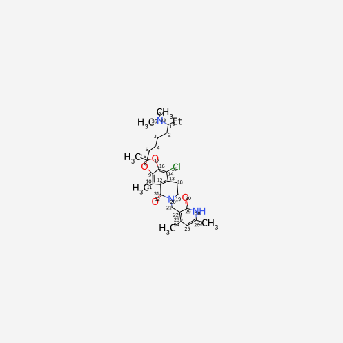 CCC(CCCCC1(C)Oc2c(C)c3c(c(Cl)c2O1)CCN(Cc1c(C)cc(C)[nH]c1=O)C3=O)N(C)C